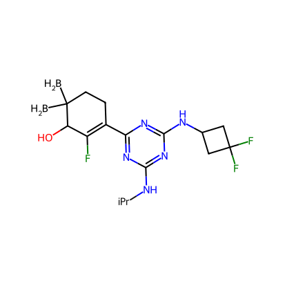 BC1(B)CCC(c2nc(NC(C)C)nc(NC3CC(F)(F)C3)n2)=C(F)C1O